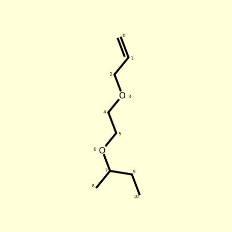 C=CCOCCOC(C)CC